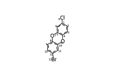 Clc1ccc2c(c1)Oc1ccc(Br)cc1O2